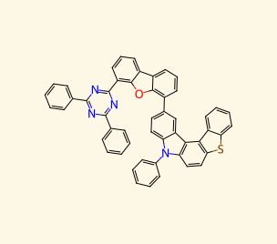 c1ccc(-c2nc(-c3ccccc3)nc(-c3cccc4c3oc3c(-c5ccc6c(c5)c5c7c(ccc5n6-c5ccccc5)sc5ccccc57)cccc34)n2)cc1